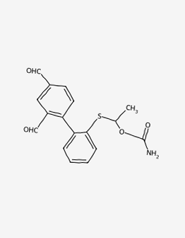 CC(OC(N)=O)Sc1ccccc1-c1ccc(C=O)cc1C=O